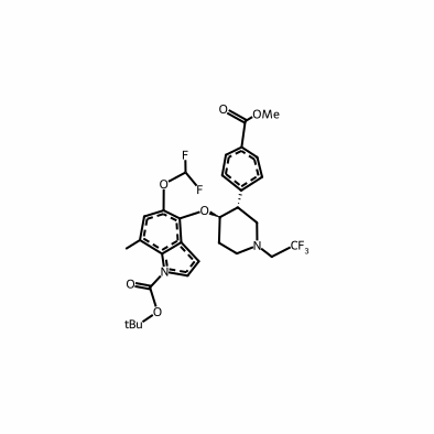 COC(=O)c1ccc([C@@H]2CN(CC(F)(F)F)CC[C@H]2Oc2c(OC(F)F)cc(C)c3c2ccn3C(=O)OC(C)(C)C)cc1